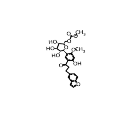 COC(=O)OC[C@H]1O[C@@H](c2cc(C(=O)CCc3ccc4occc4c3)c(O)cc2OC)[C@H](O)[C@@H](O)[C@@H]1O